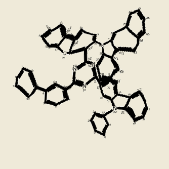 c1ccc(-c2cccc(-c3nc(-c4ccc5c6ccccc6n(-c6ccccc6)c5c4)nc(-c4c(-n5c6ccccc6c6cc7ccccc7cc65)ccc5c4oc4ccccc45)n3)c2)cc1